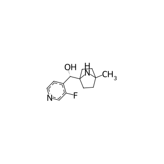 CC12CCC([C@@H](O)c3ccncc3F)(CC1)N2